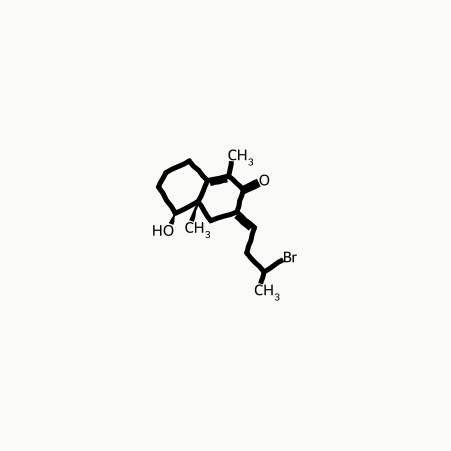 CC1=C2CCC[C@H](O)[C@@]2(C)C/C(=C\CC(C)Br)C1=O